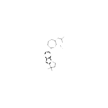 CC(C)C[C@@H]1CCC[C@@H](c2cnc3cc4n(c3n2)CCC4(C)C)N[C@H]1CO